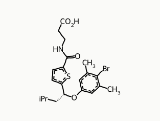 Cc1cc(O[C@H](CC(C)C)c2ccc(C(=O)NCCC(=O)O)s2)cc(C)c1Br